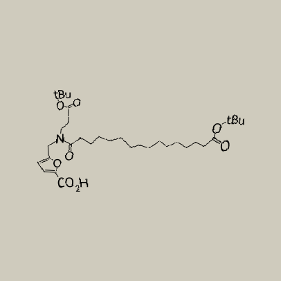 CC(C)(C)OC(=O)CCCCCCCCCCCCCCC(=O)N(CCC(=O)OC(C)(C)C)Cc1ccc(C(=O)O)o1